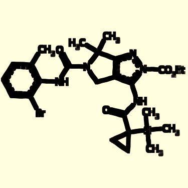 CCOC(=O)n1nc2c(c1NC(=O)C1([Si](C)(C)C)CC1)CN(C(=O)Nc1c(C)cccc1Br)C2(C)C